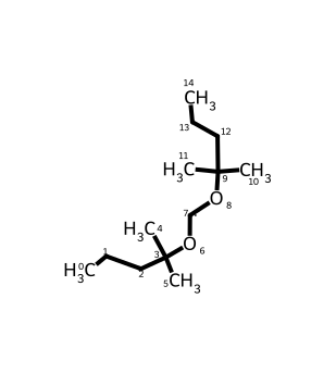 CCCC(C)(C)O[CH]OC(C)(C)CCC